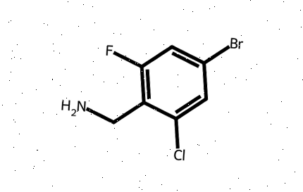 NCc1c(F)cc(Br)cc1Cl